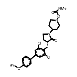 CNC(=O)ON1CCC(N2CC[C@@H](Cc3c(Cl)cc(-c4ccc(OC(C)C)cc4)cc3Cl)C2=O)CC1